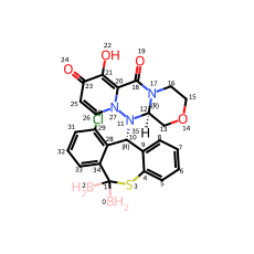 BC1(B)Sc2ccccc2[C@@H](N2[C@@H]3COCCN3C(=O)c3c(O)c(=O)ccn32)c2c(Cl)cccc21